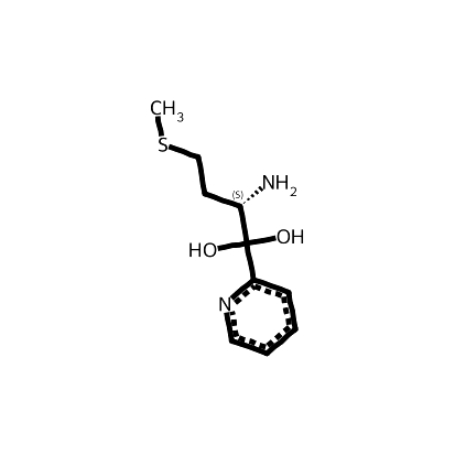 CSCC[C@H](N)C(O)(O)c1ccccn1